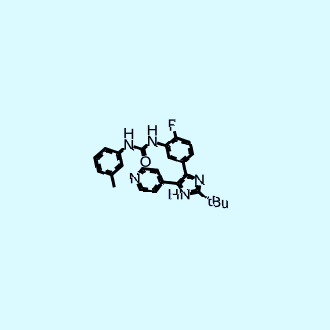 Cc1cccc(NC(=O)Nc2cc(-c3nc(C(C)(C)C)[nH]c3-c3ccncc3)ccc2F)c1